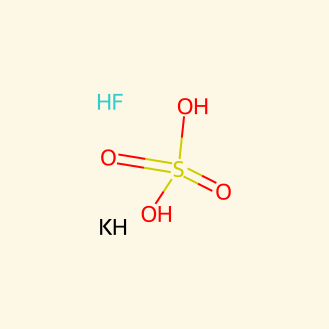 F.O=S(=O)(O)O.[KH]